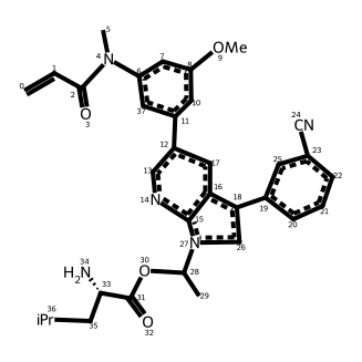 C=CC(=O)N(C)c1cc(OC)cc(-c2cnc3c(c2)c(-c2cccc(C#N)c2)cn3C(C)OC(=O)[C@@H](N)CC(C)C)c1